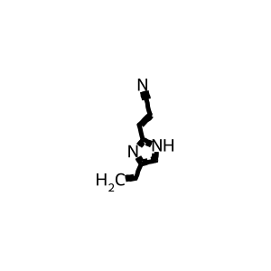 C=Cc1c[nH]c(C=CC#N)n1